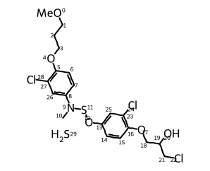 COCCCOc1ccc(N(C)SOc2ccc(OCC(O)CCl)c(Cl)c2)cc1Cl.S